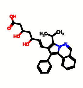 CC(C)c1c(/C=C/C(O)CC(O)CC(=O)O)c(-c2ccccc2)c2c3ccccc3cnn12